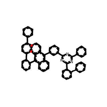 c1ccc(-c2ccc(-c3ccccc3-c3c4ccccc4c(-c4cccc(-c5nc(-c6ccccc6)nc(-c6ccccc6-c6ccccc6)n5)c4)c4ccccc34)cc2)cc1